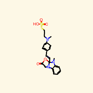 CN(CCSS(=O)(=O)O)c1ccc(/C=C/C23OC(=O)CN2c2ccccc2N3C)cc1